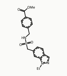 CCn1ncc2ccc(CS(=O)(=O)NCc3ccc(C(=O)OC)cc3)cc21